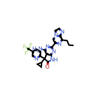 CCCc1nc(-c2nc(N)c3c(n2)NC(=O)C3(c2ccc(C(F)(F)F)cn2)C2CC2)cn2ccnc12